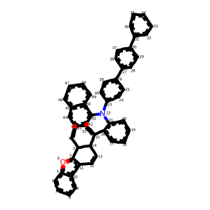 C1=CC2c3oc4ccccc4c3C=CC2C(c2ccccc2N(c2ccc(-c3ccc(-c4ccccc4)cc3)cc2)c2cccc3ccccc23)=C1